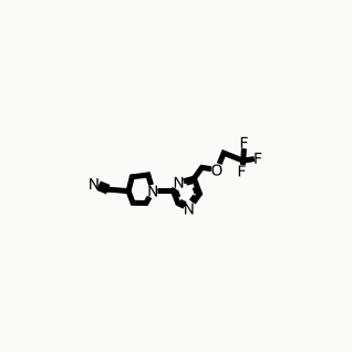 N#CC1CCN(c2cncc(COCC(F)(F)F)n2)CC1